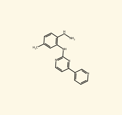 Cc1ccc(NN)c(Nc2nccc(-c3cccnc3)n2)c1